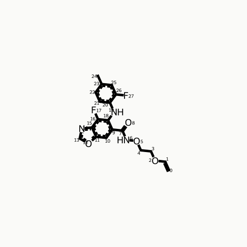 C=COCCONC(=O)c1cc2ocnc2c(F)c1Nc1ccc(C)cc1F